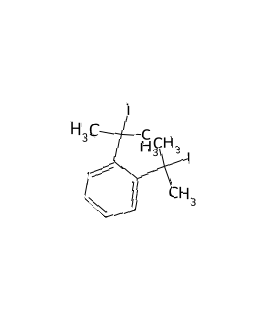 CC(C)(I)c1ccccc1C(C)(C)I